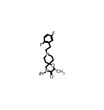 CC(C)N1CC2(CCN(CCc3cc(F)ccc3F)CC2)O[C@H](C)C1=O